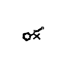 CC(C)(C)C(N=C=O)c1ccccc1